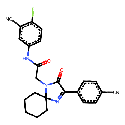 N#Cc1ccc(C2=NC3(CCCCC3)N(CC(=O)Nc3ccc(F)c(C#N)c3)C2=O)cc1